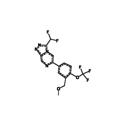 COCc1cc(-c2cn3c(C(F)F)nnc3cn2)ccc1OC(F)(F)F